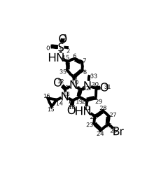 C=S(C)(=O)Nc1cccc(-n2c(=O)n(C3CC3)c(=O)c3c(Nc4ccc(Br)cc4)cc(=O)n(C)c32)c1